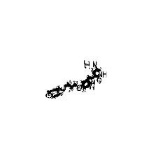 Nc1c[nH]c(=O)c(-c2cc3cc(OCCCN4CCOCC4)ccc3[nH]2)c1